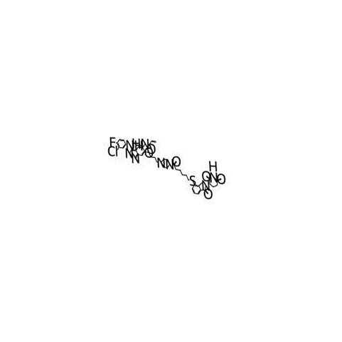 C=CC(=O)Nc1cc2c(Nc3ccc(F)c(Cl)c3)ncnc2cc1OCCCN1CCN(C(=O)CCCCCSc2cccc3c2CN(C2CCC(=O)NC2=O)C3=O)CC1